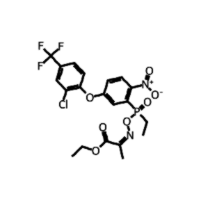 CCOC(=O)C(C)=NOP(=O)(CC)c1cc(Oc2ccc(C(F)(F)F)cc2Cl)ccc1[N+](=O)[O-]